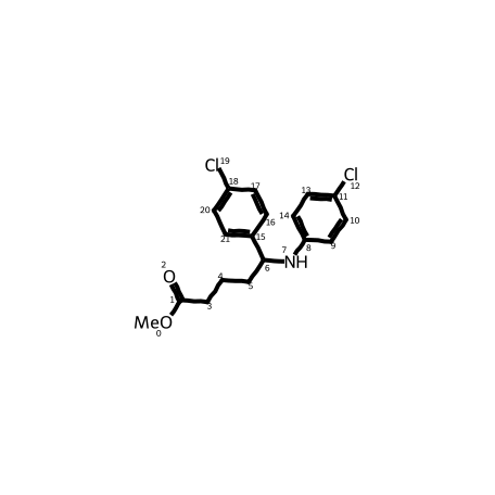 COC(=O)CCCC(Nc1ccc(Cl)cc1)c1ccc(Cl)cc1